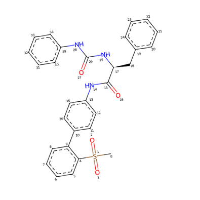 CS(=O)(=O)c1ccccc1-c1ccc(NC(=O)[C@H](Cc2ccccc2)NC(=O)Nc2ccccc2)cc1